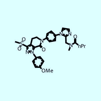 CCCC(=O)N(C)Cc1nccn1-c1ccc(N2CCc3c(S(C)(=O)=O)nn(-c4ccc(OC)cc4)c3C2=O)cc1